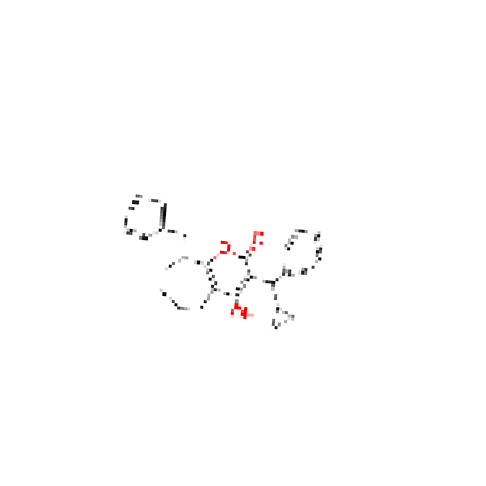 O=c1oc2c(c(O)c1C(c1ccccc1)C1CC1)CCCCC2Cc1ccccc1